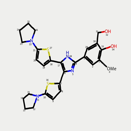 COc1cc(-c2nc(-c3ccc(N4CCCC4)s3)c(-c3ccc(N4CCCC4)s3)[nH]2)cc(CO)c1O